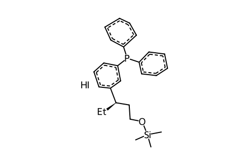 CC[C@H](CCO[Si](C)(C)C)c1cccc(P(c2ccccc2)c2ccccc2)c1.I